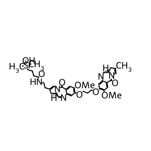 COc1cc2c(cc1OCCCOc1cc3c(cc1OC)C(=O)N1C=C(CCNC(=O)CCC[Si](C)(C)O)C[C@H]1C=N3)N=C[C@@H]1CC(C)=CN1C2=O